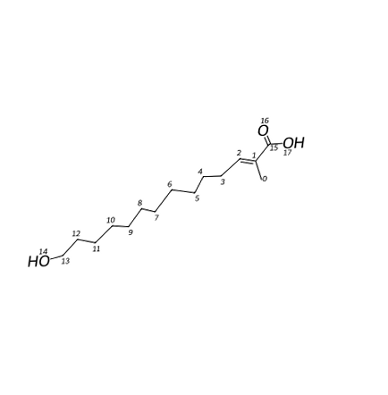 C/C(=C\CCCCCCCCCCCO)C(=O)O